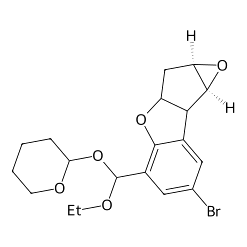 CCOC(OC1CCCCO1)c1cc(Br)cc2c1OC1C[C@H]3O[C@H]3C21